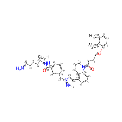 Cc1cccc(OCCCC(=O)N2CCCc3c(-c4cnn(Cc5cccc(C(=O)NC(CCCCN)C(=O)O)c5)c4)cccc32)c1C